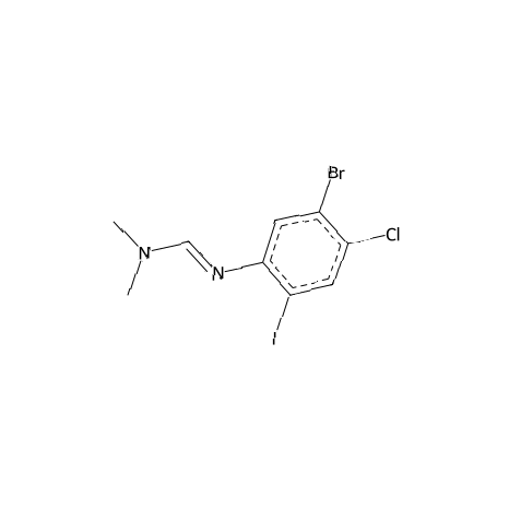 CN(C)/C=N/c1cc(Br)c(Cl)cc1I